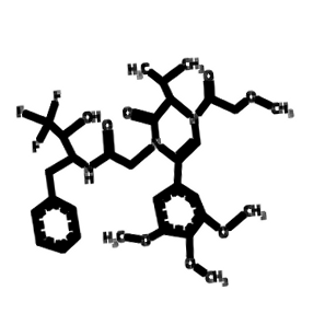 COCC(=O)N1C=C(c2cc(OC)c(OC)c(OC)c2)N(CC(=O)NC(Cc2ccccc2)C(O)C(F)(F)F)C(=O)C1C(C)C